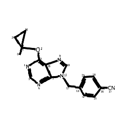 CC1(Oc2ncnc3c2ncn3Cc2ccc(C#N)cc2)CC1